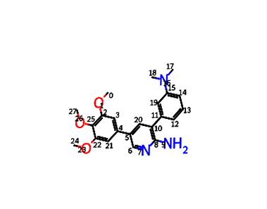 COc1cc(-c2cnc(N)c(-c3cccc(N(C)C)c3)c2)cc(OC)c1OC